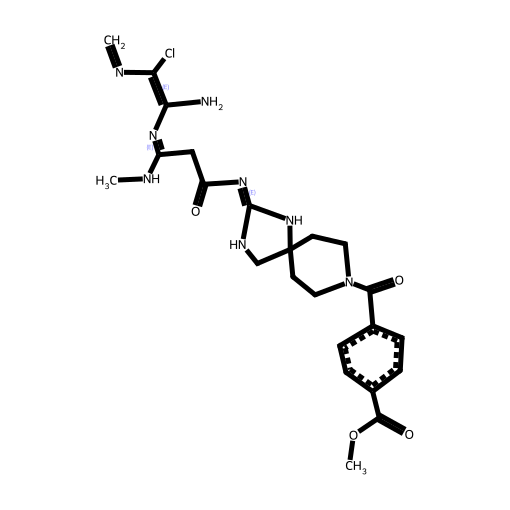 C=N/C(Cl)=C(N)\N=C(/CC(=O)/N=C1\NCC2(CCN(C(=O)c3ccc(C(=O)OC)cc3)CC2)N1)NC